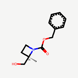 C[C@]1(CO)CCN1C(=O)OCc1ccccc1